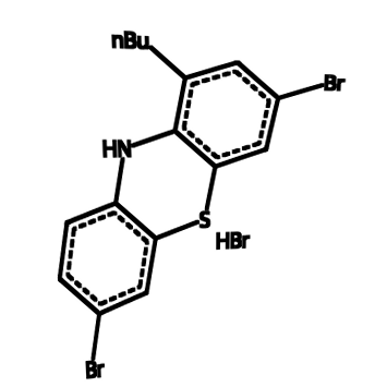 Br.CCCCc1cc(Br)cc2c1Nc1ccc(Br)cc1S2